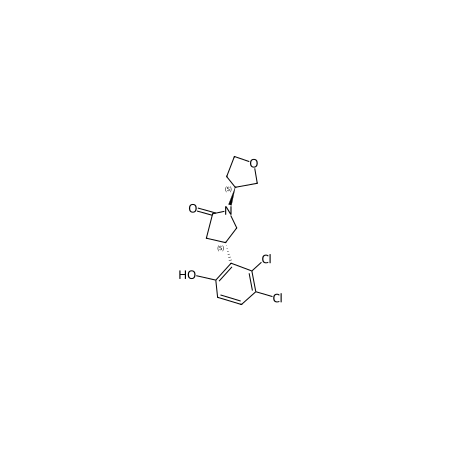 O=C1C[C@@H](c2c(O)ccc(Cl)c2Cl)CN1[C@H]1CCOC1